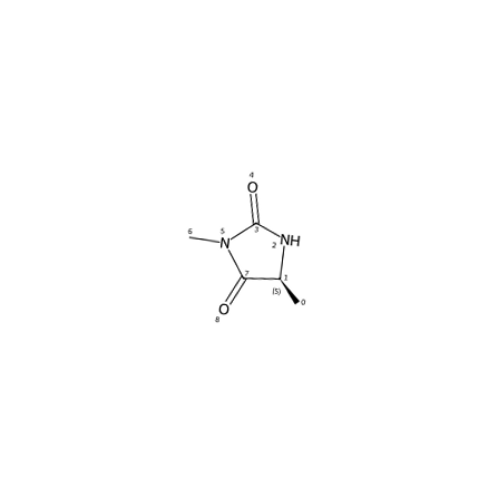 C[C@@H]1NC(=O)N(C)C1=O